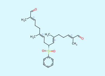 C/C(C=O)=C\CC/C(C)=C/CC(/C=C(\C)CC/C=C(\C)C=O)S(=O)(=O)c1ccccc1